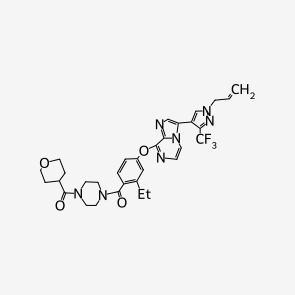 C=CCn1cc(-c2cnc3c(Oc4ccc(C(=O)N5CCN(C(=O)C6CCOCC6)CC5)c(CC)c4)nccn23)c(C(F)(F)F)n1